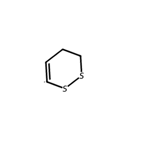 [C]1=CCCSS1